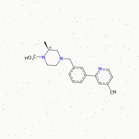 C[C@H]1CN(Cc2cccc(-c3cc(C#N)ccn3)c2)CCN1C(=O)O